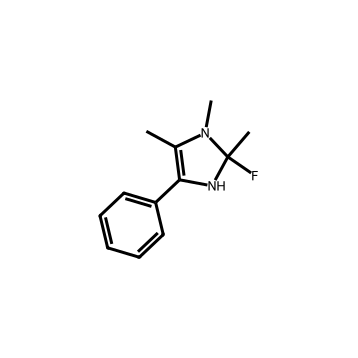 CC1=C(c2ccccc2)NC(C)(F)N1C